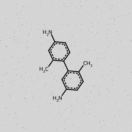 Cc1cc(N)ccc1-c1cc(N)ccc1C